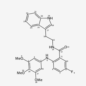 COc1cc(Nc2ccc(F)cc2C(=O)NCCc2c[nH]c3ccccc23)cc(OC)c1OC